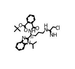 CC(C)n1c([C@H](CCCNC(=N)CCl)NC(=O)c2ccccc2C(=O)OC(C)(C)C)nc2ccccc21